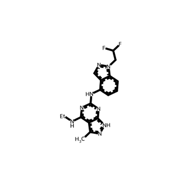 CCNc1nc(Nc2cccc3c2cnn3CC(F)F)nc2[nH]nc(C)c12